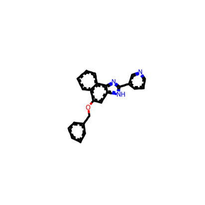 c1ccc(COc2cc3[nH]c(-c4cccnc4)nc3c3ccccc23)cc1